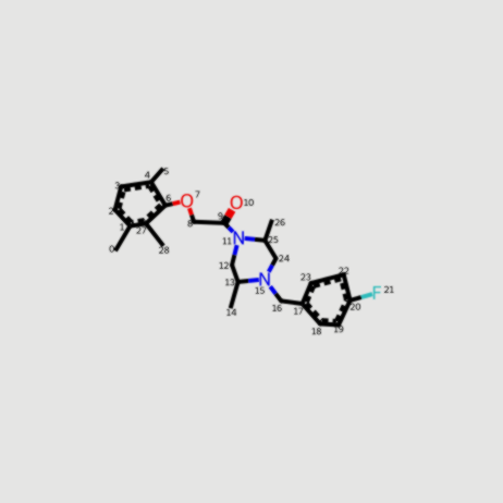 Cc1ccc(C)c(OCC(=O)N2CC(C)N(Cc3ccc(F)cc3)CC2C)c1C